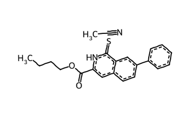 CC#N.CCCCOC(=O)c1cc2ccc(-c3ccccc3)cc2c(=S)[nH]1